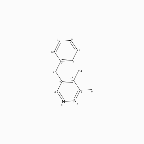 Cc1nncc(Cc2ccccc2)c1C